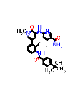 Cc1c(NC(=O)c2ccc(C(C)(C)C)cc2)cccc1-c1cc(Nc2ccc(C(N)=O)cn2)c(=O)n(C)c1